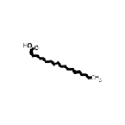 CCCCCC=CCCCCCCCCCC/C=C\C(=O)O